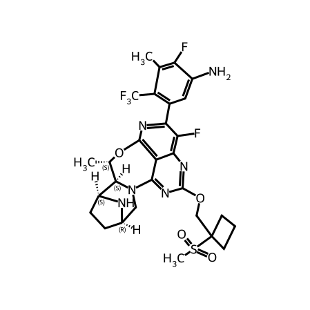 Cc1c(F)c(N)cc(-c2nc3c4c(nc(OCC5(S(C)(=O)=O)CCC5)nc4c2F)N2C[C@H]4CC[C@H](N4)[C@H]2[C@H](C)O3)c1C(F)(F)F